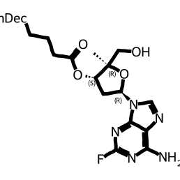 CCCCCCCCCCCCCC(=O)O[C@H]1C[C@H](n2cnc3c(N)nc(F)nc32)O[C@]1(C)CO